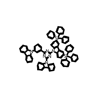 c1ccc([Si](c2ccccc2)(c2ccccc2)c2ccc3c(c2)c2cc([Si](c4ccccc4)(c4ccccc4)c4ccccc4)ccc2n3-c2nc(-c3cccc(-n4c5ccccc5c5ccccc54)c3)nc(-n3c4ccccc4c4ccccc43)n2)cc1